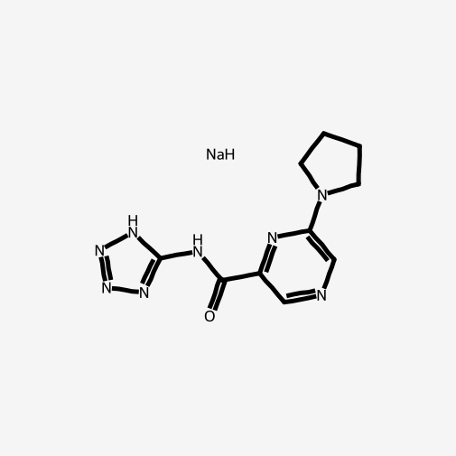 O=C(Nc1nnn[nH]1)c1cncc(N2CCCC2)n1.[NaH]